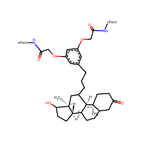 CCCCCNC(=O)COc1cc(CCCC2C[C@]3(C)C(O)CC[C@H]3[C@@H]3CCC4CC(=O)CC[C@]4(C)[C@H]23)cc(OCC(=O)NCCCCC)c1